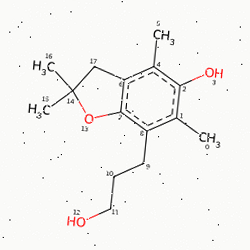 Cc1c(O)c(C)c2c(c1CCCO)OC(C)(C)C2